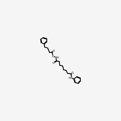 O=C(CCCCCCC(=O)Nc1ccccc1)NOC(=O)CCCc1ccccc1